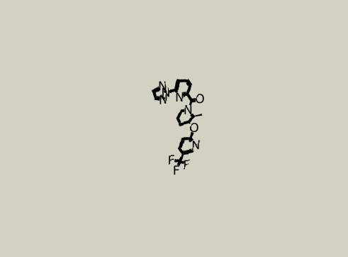 C[C@H]1[C@H](Oc2ccc(C(F)(F)F)cn2)CCCN1C(=O)c1cccc(-n2nccn2)n1